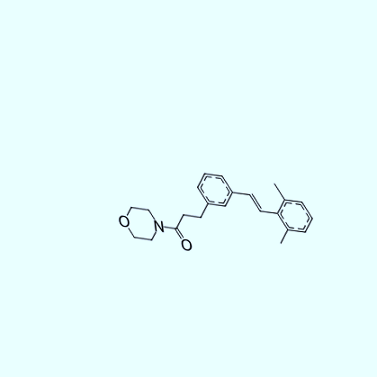 Cc1cccc(C)c1C=Cc1cccc(CCC(=O)N2CCOCC2)c1